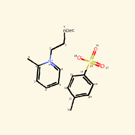 CCCCCCCCCCCC[n+]1ccccc1C.Cc1ccc(S(=O)(=O)[O-])cc1